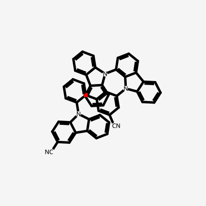 N#Cc1cc(-c2ccccc2-n2c3ccccc3c3cc(C#N)ccc32)cc(-n2c3ccccc3c3cccc(-n4c5ccccc5c5ccccc54)c32)c1